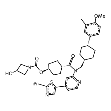 COc1ccc([C@H]2CC[C@H](CN(c3cc(-c4cnc(C(C)C)s4)ccn3)C(=O)[C@H]3CC[C@H](OC(=O)N4CC(O)C4)CC3)CC2)cc1C